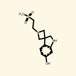 CS(=O)(=O)CCN1CC2(CNc3cc(O)ccc32)C1